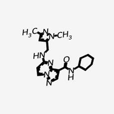 Cc1cc(CNc2ccn3ncc(C(=O)NC4CCCCC4)c3n2)n(C)n1